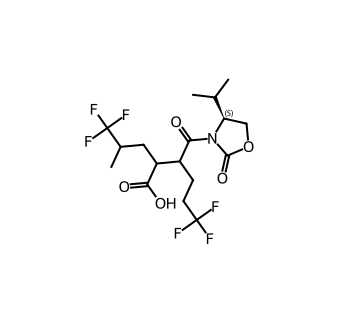 CC(C)[C@H]1COC(=O)N1C(=O)C(CCC(F)(F)F)C(CC(C)C(F)(F)F)C(=O)O